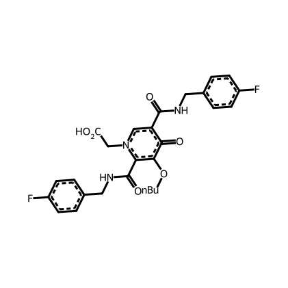 CCCCOc1c(C(=O)NCc2ccc(F)cc2)n(CC(=O)O)cc(C(=O)NCc2ccc(F)cc2)c1=O